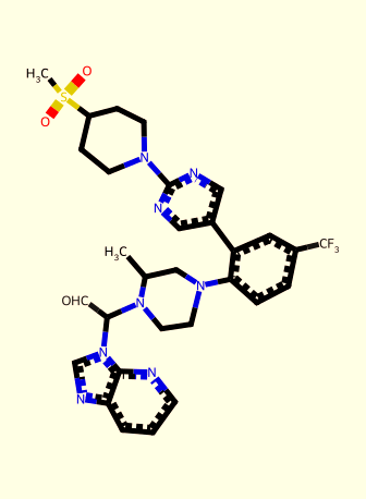 CC1CN(c2ccc(C(F)(F)F)cc2-c2cnc(N3CCC(S(C)(=O)=O)CC3)nc2)CCN1C(C=O)n1cnc2cccnc21